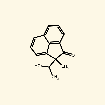 CC(O)C1(C)C(=O)c2cccc3cccc1c23